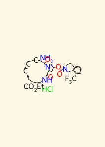 CCOC(=O)C1CCC=CCCCCCC(N)C(=O)[N+]2CC(OC(=O)N3CCc4cccc(C(F)(F)F)c4C3)CC2C(=O)N1.Cl